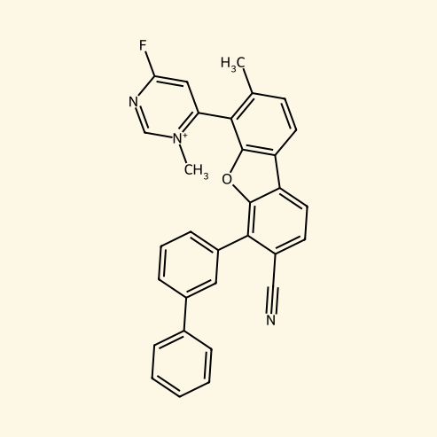 Cc1ccc2c(oc3c(-c4cccc(-c5ccccc5)c4)c(C#N)ccc32)c1-c1cc(F)nc[n+]1C